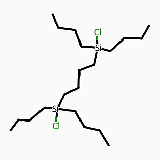 CCCC[Si](Cl)(CCCC)CCCC[Si](Cl)(CCCC)CCCC